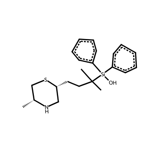 C[C@@H]1CS[C@H](CCC(C)(C)[Si](O)(c2ccccc2)c2ccccc2)CN1